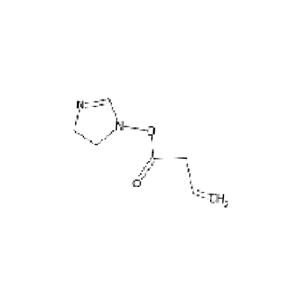 C=CCC(=O)ON1C=NCC1